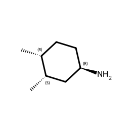 C[C@@H]1CC[C@@H](N)C[C@@H]1C